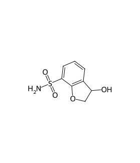 NS(=O)(=O)c1cccc2c1OCC2O